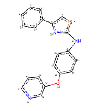 c1ccc(-c2csc(Nc3ccc(Oc4cccnc4)cc3)n2)cc1